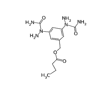 CCCC(=O)OCc1cc(N(N)C(N)=O)cc(N(N)C(N)=O)c1